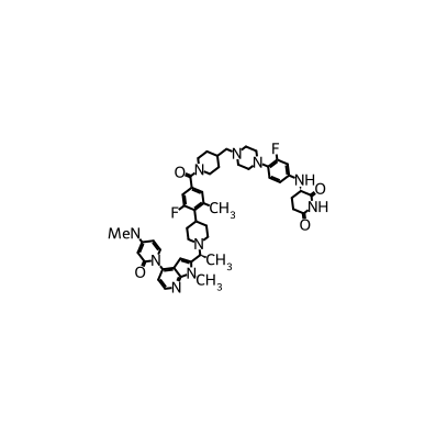 CNc1ccn(-c2ccnc3c2cc([C@H](C)N2CCC(c4c(C)cc(C(=O)N5CCC(CN6CCN(c7ccc(N[C@H]8CCC(=O)NC8=O)cc7F)CC6)CC5)cc4F)CC2)n3C)c(=O)c1